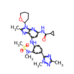 Cc1nc(-c2ccc(Nc3cc(NC(=O)C4CC4)nc4c3nc(C)n4C3CCCCO3)c(N(C)S(C)(=O)=O)c2)n(C)n1